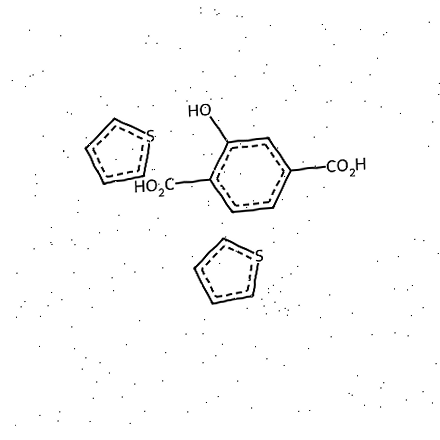 O=C(O)c1ccc(C(=O)O)c(O)c1.c1ccsc1.c1ccsc1